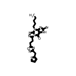 CCCCCn1c2nc(Br)[nH]c2c(=O)n2c(CCc3nc(Cc4cccs4)no3)nnc12